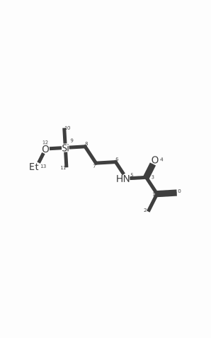 C=C(C)C(=O)NCCC[Si](C)(C)OCC